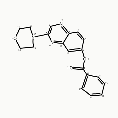 O=C(Oc1ccc2ncc(N3CCOCC3)nc2c1)c1ccccc1